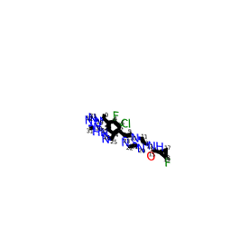 CC(c1c(F)c(Cl)c(-c2cn3cc(NC(=O)C4CC4F)nc3cn2)c2cn[nH]c12)n1ncnn1